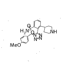 COc1ccc(Cn2nnnc2-c2c(C3CCNCC3)cccc2S(N)(=O)=O)cc1